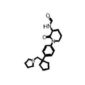 O=CNC1CCCN(c2ccc(C3(CN4CCCC4)CCCC3)cc2)C1=O